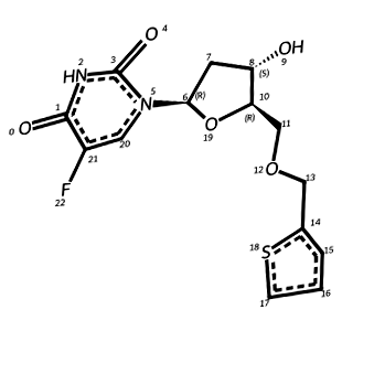 O=c1[nH]c(=O)n([C@H]2C[C@H](O)[C@@H](COCc3cccs3)O2)cc1F